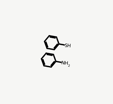 Nc1ccccc1.Sc1ccccc1